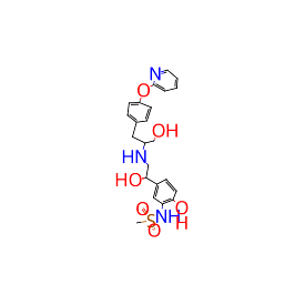 CS(=O)(=O)Nc1cc([C@@H](O)CNC(CO)Cc2ccc(Oc3ccccn3)cc2)ccc1O